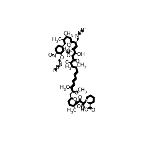 CO[C@@H](C[C@@H]1CC[C@@H](C)C(O)(C(=O)C(=O)N2CCCC[C@H]2C(=O)O)O1)/C(C)=C/C=C/C=C/[C@@H](C)C[C@@H](C)C(=O)[C@H](OC)[C@H](O)/C(C)=C/[C@@H](CN=[N+]=[N-])C(=O)C[C@H](C)[C@H](C)C[C@@H]1CC[C@@H](N=O)[C@H](OCN=[N+]=[N-])C1